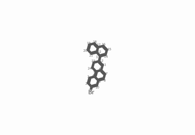 Brc1ccc2c3c(ccc2c1)C=C(c1cccc2ccccc12)CC3